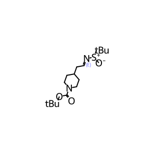 CC(C)(C)OC(=O)N1CCC(C/C=N/[S+]([O-])C(C)(C)C)CC1